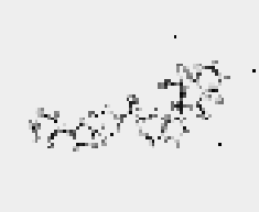 O=C(NC1CCc2ccc(C(=O)N3CCC4(CC3)CCN(c3ccncc3)C4)cc21)c1c(F)cccc1C(F)(F)F